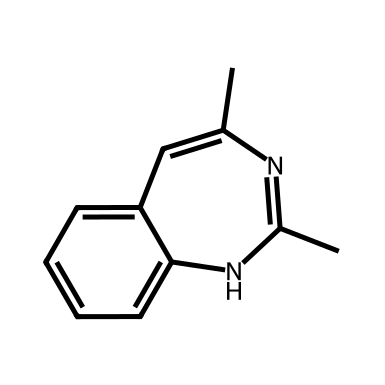 CC1=Cc2ccccc2NC(C)=N1